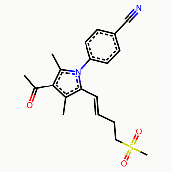 CC(=O)c1c(C)c(C=CCCS(C)(=O)=O)n(-c2ccc(C#N)cc2)c1C